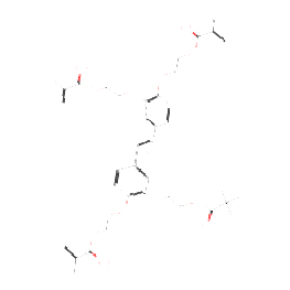 C=C(C)C(=O)OCCOc1ccc(/C=C/c2ccc(OCCOC(=O)C(=C)C)c(OCCOC(=O)C(C)(C)C)c2)cc1OCCOC(=O)C(=C)C